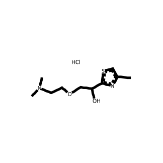 Cc1csc(C(O)COCCN(C)C)n1.Cl